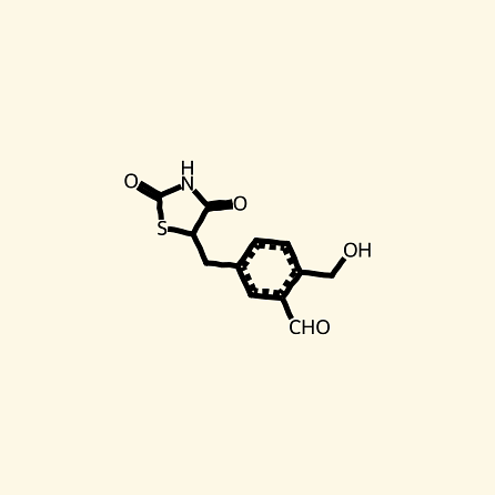 O=Cc1cc(CC2SC(=O)NC2=O)ccc1CO